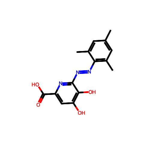 Cc1cc(C)c(/N=N/c2nc(C(=O)O)cc(O)c2O)c(C)c1